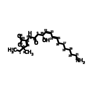 CC[C@@]1(C)C=C(NC(=O)C[C@@H](O)/C=C\C=C\CCCCCCN)C(=O)O1